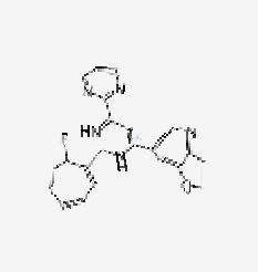 N=C(/C=C(\NCC1=CC=CC=CC1F)c1cnc2ccoc2c1)c1ncccn1